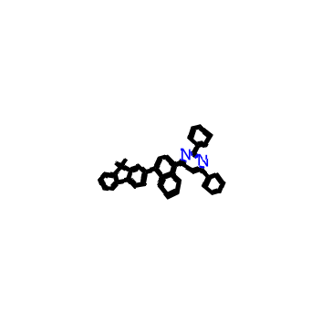 CC1(C)c2ccccc2-c2ccc(-c3ccc(-c4cc(-c5ccccc5)nc(-c5ccccc5)n4)c4ccccc34)cc21